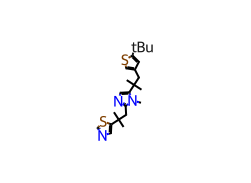 Cn1c(C(C)(C)Cc2csc(C(C)(C)C)c2)cnc1CC(C)(C)c1cncs1